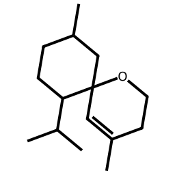 CC1=CC2(CC(C)CCC2C(C)C)OCC1